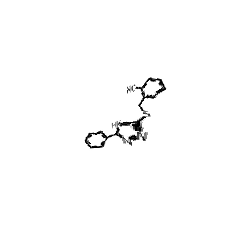 N#Cc1ccccc1CSc1nnc(-c2ccccc2)[nH]1